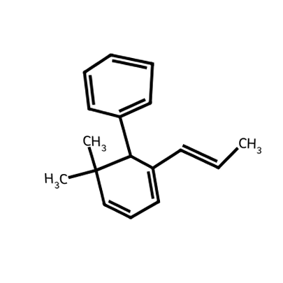 CC=CC1=CC=CC(C)(C)C1c1ccccc1